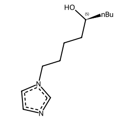 CCCC[C@H](O)CCCCn1ccnc1